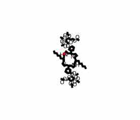 CCCCCCc1c2nc(c(-c3cccc(O[C@@H]4OC(COC(C)=O)[C@@H](OC(C)=O)C(OC(C)=O)C4OC(C)=O)c3)c3ccc([nH]3)c(CCCCCC)c3nc(c(-c4cccc(OC5O[C@H](COC(C)=O)C(OC(C)=O)C(OC(C)=O)[C@H]5OC(C)=O)c4)c4ccc1[nH]4)C=C3)C=C2